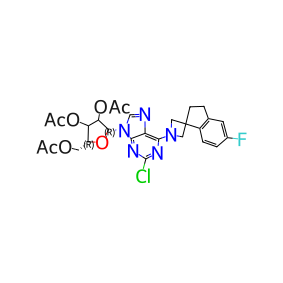 CC(=O)OC[C@H]1O[C@@H](n2cnc3c(N4CC5(CCc6cc(F)ccc65)C4)nc(Cl)nc32)C(OC(C)=O)C1OC(C)=O